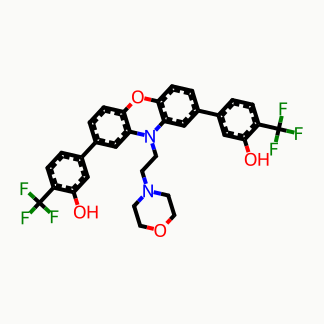 Oc1cc(-c2ccc3c(c2)N(CCN2CCOCC2)c2cc(-c4ccc(C(F)(F)F)c(O)c4)ccc2O3)ccc1C(F)(F)F